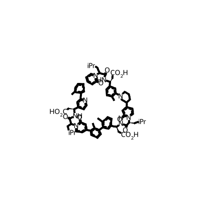 Cc1ccccc1-c1cc([C@H](CC(=O)O)NC(=O)C(CC(C)C)n2ccc(-c3cccc(-c4cc([C@H](CC(=O)O)NC(=O)[C@H](CC(C)C)n5ccc(C6CCCN(c7cc([C@H](CC(=O)O)NC(=O)C(CC(C)C)n8ccccc8=O)ccc7C)C6)cc5=O)ccc4C)c3C)cc2=O)ccn1